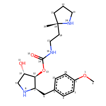 COc1ccc(C[C@H]2NC[C@H](O)[C@H]2OC(=O)NCC[C@]2(C)CCCN2)cc1